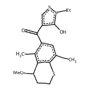 CCn1ncc(C(=O)c2cc(C)c3c(c2C)C(OC)CCS3)c1O